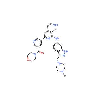 CCN1CCN(Cc2n[nH]c3cc(Nc4nc(-c5cncc(C(=O)N6CCOCC6)c5)cc5c4CNC=C5)ccc23)CC1